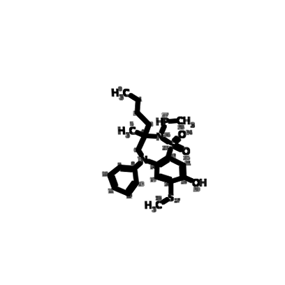 CCCCC1(C)CN(c2ccccc2)c2cc(SC)c(O)cc2S(=O)(=O)N1PC